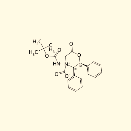 CC(C)(C)OC(=O)N[N+]1(C(=O)[O-])CC(=O)O[C@@H](c2ccccc2)[C@H]1c1ccccc1